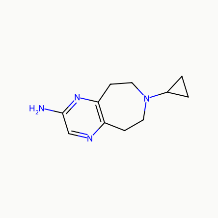 Nc1cnc2c(n1)CCN(C1CC1)CC2